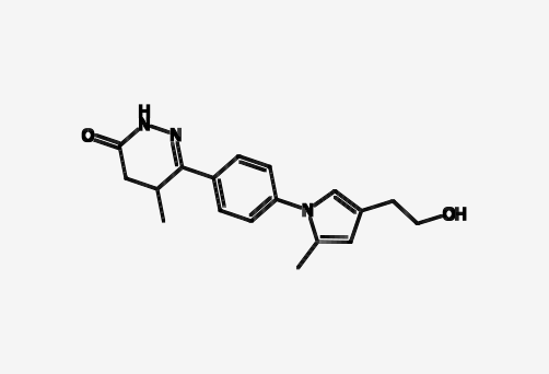 Cc1cc(CCO)cn1-c1ccc(C2=NNC(=O)CC2C)cc1